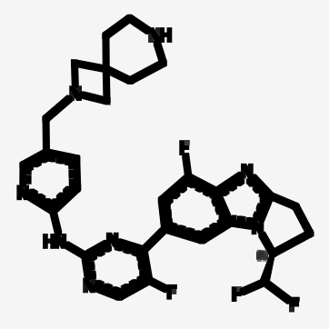 Fc1cnc(Nc2ccc(CN3CC4(CCNCC4)C3)cn2)nc1-c1cc(F)c2nc3n(c2c1)[C@H](C(F)F)CC3